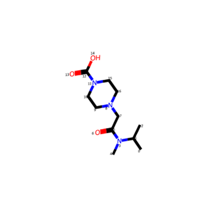 CC(C)N(C)C(=O)CN1CCN(C(=O)O)CC1